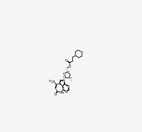 C[C@H]1C[C@@H](COC(=O)CCN2CCOCC2)O[C@H]1n1cc2c3c(ncnc31)NC(=O)C=C2N